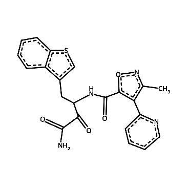 Cc1noc(C(=O)NC(Cc2csc3ccccc23)C(=O)C(N)=O)c1-c1ccccn1